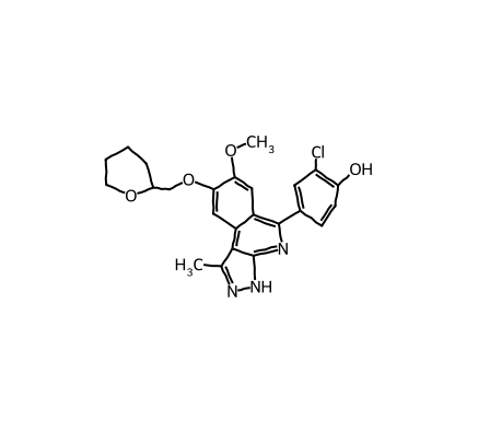 COc1cc2c(-c3ccc(O)c(Cl)c3)nc3[nH]nc(C)c3c2cc1OCC1CCCCO1